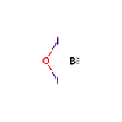 IOI.[Bi]